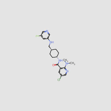 CN(C)c1ncc(Cl)cc1C(=O)N[C@H]1CC[C@H](CNc2cncc(F)c2)CC1